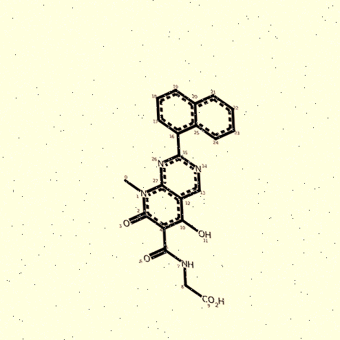 Cn1c(=O)c(C(=O)NCC(=O)O)c(O)c2cnc(-c3cccc4ccccc34)nc21